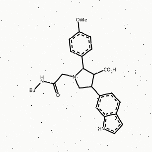 CCC(C)NC(=O)CN1CC(c2ccc3cc[nH]c3c2)C(C(=O)O)C1c1ccc(OC)cc1